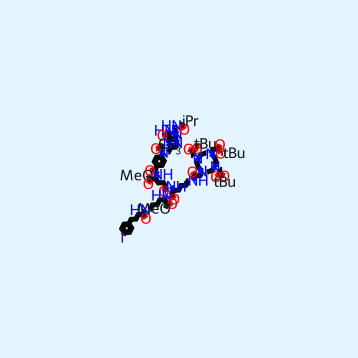 COC(=O)C(CCC(=O)NC(CCCCNC(=O)CN1CCN(CC(=O)OC(C)(C)C)CCN(CC(=O)OC(C)(C)C)CCN(CC(=O)OC(C)(C)C)CC1)C(=O)NC(CCCCNC(=O)CCCc1ccc(I)cc1)C(=O)OC)NC(=O)c1ccc(N(Cc2cnc3nc(NC(=O)C(C)C)[nH]c(=O)c3n2)C(=O)C(F)(F)F)cc1